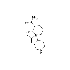 CC(C)[N+]1(C2CCNCC2)CCCC(C(N)=O)C1=O